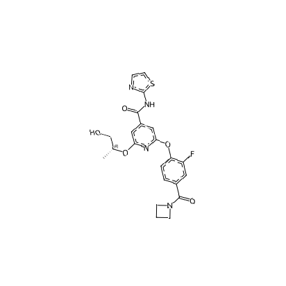 C[C@H](CO)Oc1cc(C(=O)Nc2nccs2)cc(Oc2ccc(C(=O)N3CCC3)cc2F)n1